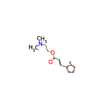 CN(C)CCOC(=O)C=Cc1cccs1